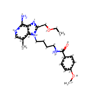 CCOCc1nc2c(N)ncc(C)c2n1CCCCNC(=O)c1ccc(OC)cc1